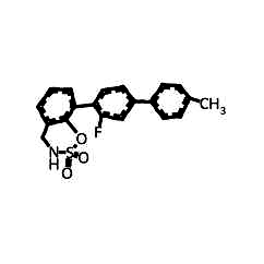 Cc1ccc(-c2ccc(-c3cccc4c3OS(=O)(=O)NC4)c(F)c2)cc1